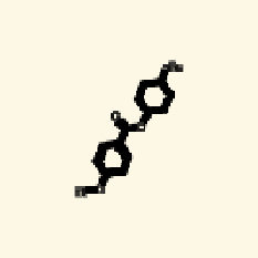 CCCCC1CCC(OC(=O)c2ccc(OCC)cc2)CC1